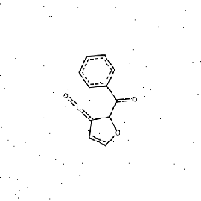 O=C=C1C=COC1C(=O)c1ccccc1